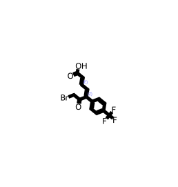 O=C(O)/C=C/C=C(\C(=O)CBr)c1ccc(C(F)(F)F)cc1